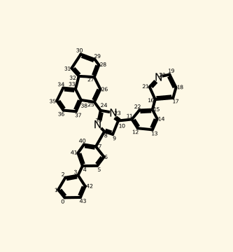 c1ccc(-c2ccc(-c3cc(-c4cccc(-c5cccnc5)c4)nc(-c4cc5ccccc5c5ccccc45)n3)cc2)cc1